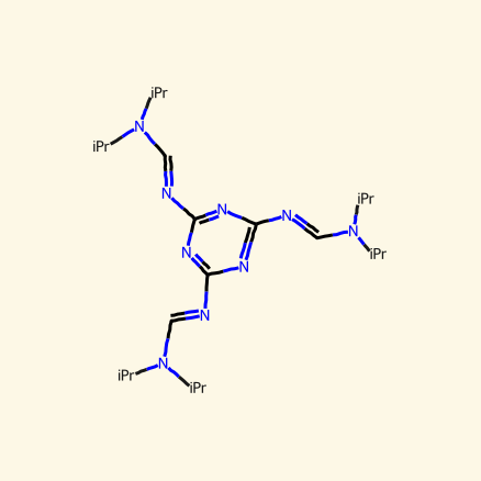 CC(C)N(C=Nc1nc(N=CN(C(C)C)C(C)C)nc(N=CN(C(C)C)C(C)C)n1)C(C)C